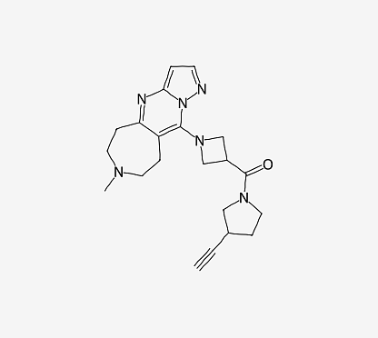 C#CC1CCN(C(=O)C2CN(c3c4c(nc5ccnn35)CCN(C)CC4)C2)C1